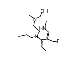 C/C=C(\C(=C/NC)CF)N(CCC)CCN(C)CO